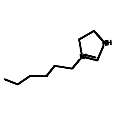 CCCCCC[N+]1=CNCC1